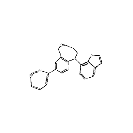 c1cnnc(-c2ccc3c(c2)CNCCC3c2cccc3ccsc23)c1